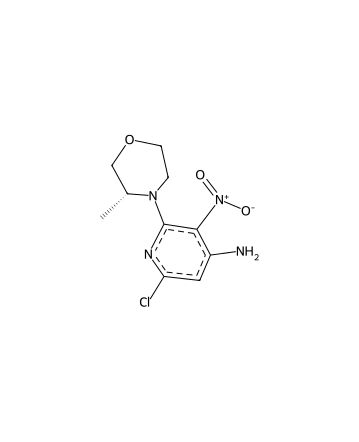 C[C@@H]1COCCN1c1nc(Cl)cc(N)c1[N+](=O)[O-]